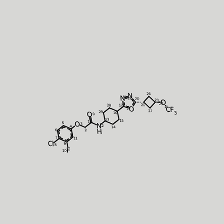 O=C(COc1ccc(Cl)c(F)c1)NC1CCC(c2nnc([C@H]3C[C@H](OC(F)(F)F)C3)o2)CC1